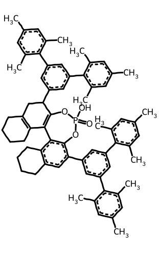 Cc1cc(C)c(-c2cc(-c3cc4c(c5c3OP(=O)(O)OC3=C5C5=C(CCCC5)CC3c3cc(-c5c(C)cc(C)cc5C)cc(-c5c(C)cc(C)cc5C)c3)CCCC4)cc(-c3c(C)cc(C)cc3C)c2)c(C)c1